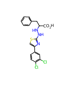 O=C(O)C(Cc1ccccc1)NNc1nc(-c2ccc(Cl)c(Cl)c2)cs1